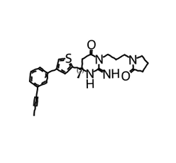 CC#Cc1cccc(-c2csc([C@]3(C)CC(=O)N(CCCN4CCCC4=O)C(=N)N3)c2)c1